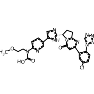 COCCN(C(=O)O)c1ccc(-c2cnc([C@@H]3CCc4nc(-c5cc(Cl)ccc5-n5cnnn5)cc(=O)n43)[nH]2)cn1